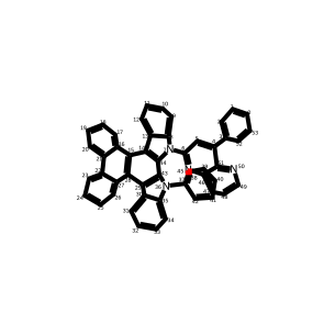 c1ccc(-c2cc(-n3c4ccccc4c4c5c6ccccc6c6ccccc6c5c5c6ccccc6n(-c6ccccc6)c5c43)nc3cccnc23)cc1